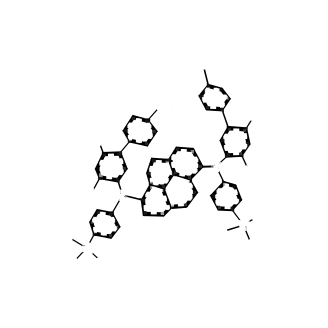 Cc1ccc(-c2cc(N(c3ccc([Si](C)(C)C)cc3)c3ccc4ccc5c(N(c6ccc([Si](C)(C)C)cc6)c6cc(-c7ccc(C(F)(F)F)cc7)c(F)cc6F)ccc6ccc3c4c65)c(F)cc2F)cc1